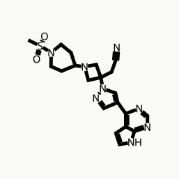 CS(=O)(=O)N1CCC(N2CC(CC#N)(n3cc(-c4ncnc5[nH]ccc45)cn3)C2)CC1